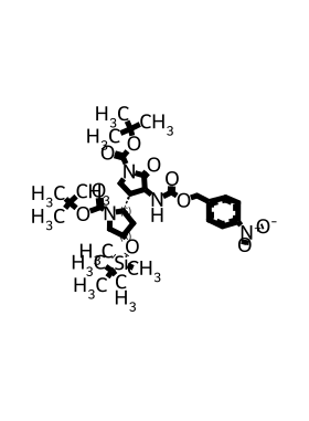 CC(C)(C)OC(=O)N1CC([C@@H]2C[C@@H](O[Si](C)(C)C(C)(C)C)CN2C(=O)OC(C)(C)C)C(NC(=O)OCc2ccc([N+](=O)[O-])cc2)C1=O